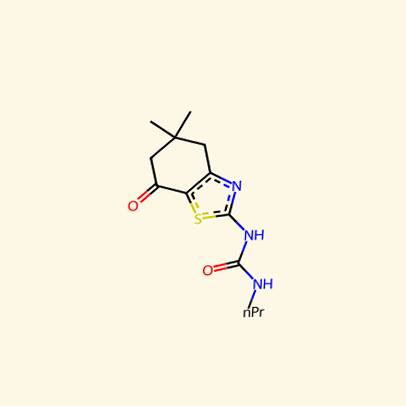 CCCNC(=O)Nc1nc2c(s1)C(=O)CC(C)(C)C2